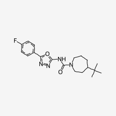 CC(C)(C)C1CCCN(C(=O)Nc2nnc(-c3ccc(F)cc3)o2)CC1